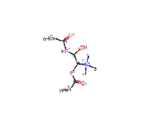 CCCCCCC(=O)[P-]C(C(O)PC(=O)CCCCCC)[N+](C)(C)C